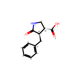 O=C(O)[C@H]1CNC(=O)[C@@H]1Cc1ccccc1